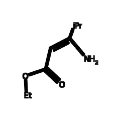 CCOC(=O)C=C(N)C(C)C